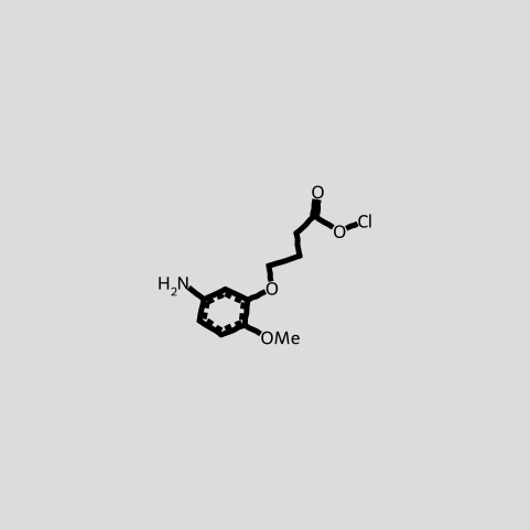 COc1ccc(N)cc1OCCCC(=O)OCl